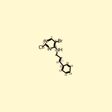 Clc1ncc(Br)c(NC/C=C/c2ccccc2)n1